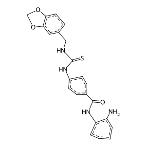 Nc1ccccc1NC(=O)c1ccc(NC(=S)NCc2ccc3c(c2)OCO3)cc1